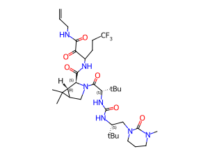 C=CCNC(=O)C(=O)C(CCC(F)(F)F)NC(=O)[C@@H]1[C@@H]2C(CN1C(=O)[C@@H](NC(=O)N[C@H](CN1CCCN(C)C1=O)C(C)(C)C)C(C)(C)C)C2(C)C